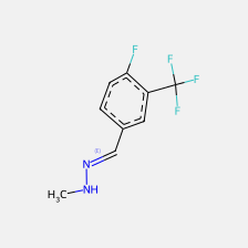 CN/N=C/c1ccc(F)c(C(F)(F)F)c1